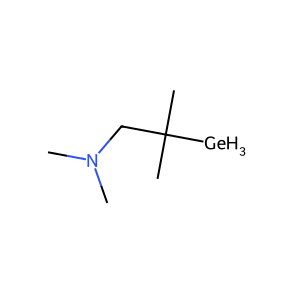 CN(C)C[C](C)(C)[GeH3]